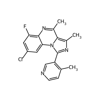 Cc1ccncc1-c1nc(C)c2c(C)nc3c(F)cc(Cl)cc3n12